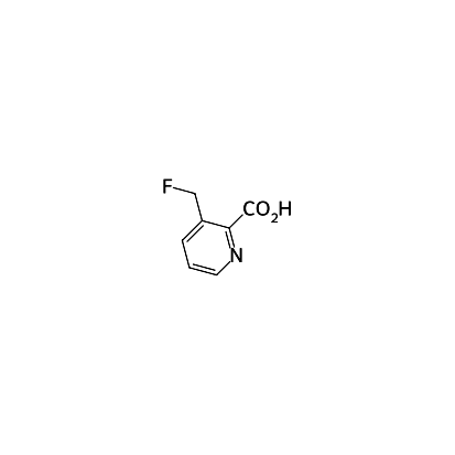 O=C(O)c1ncccc1CF